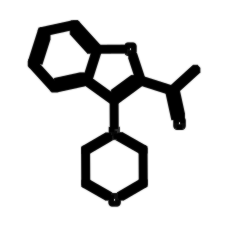 CC(=O)c1oc2ccccc2c1N1CCOCC1